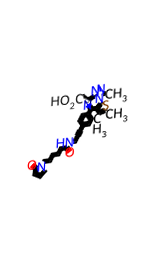 Cc1sc2c(c1C)C(c1ccc(C#CCNC(=O)CCCCCN3CC=CC3=O)cc1)=N[C@@H](CC(=O)O)c1nnc(C)n1-2